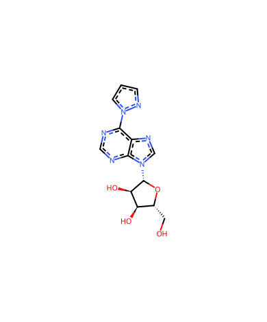 OC[C@H]1O[C@@H](n2cnc3c(-n4cccn4)ncnc32)[C@H](O)[C@@H]1O